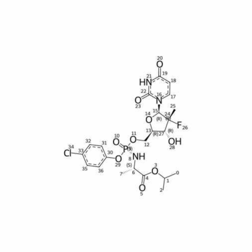 CC(C)OC(=O)[C@H](C)N[P@](=O)(OC[C@H]1O[C@@H](n2ccc(=O)[nH]c2=O)[C@](C)(F)[C@@H]1O)Oc1ccc(Cl)cc1